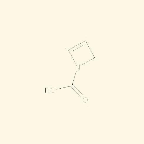 O=C(O)N1C=CC1